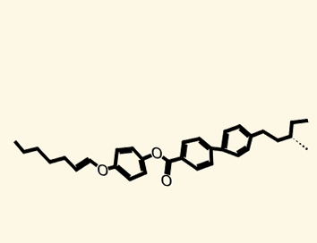 CCCCC/C=C/Oc1ccc(OC(=O)c2ccc(-c3ccc(CC[C@@H](C)CC)cc3)cc2)cc1